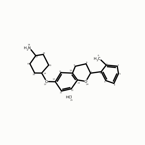 Cc1ccccc1C1CCc2cc(OC3CCC(N)CC3)ccc2O1.Cl